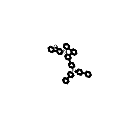 c1ccc(-c2ccc(N(c3ccc(-c4ccccc4)cc3)c3ccc(-c4ccc5c(c4)-c4ccccc4-c4ccccc4N5c4ccc5c(c4)oc4ccccc45)cc3)cc2)cc1